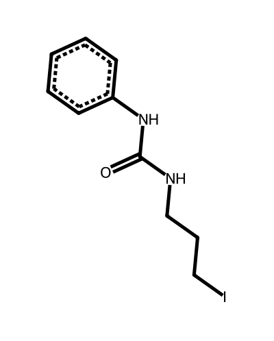 O=C(NCCCI)Nc1ccccc1